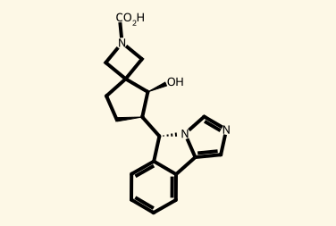 O=C(O)N1CC2(CC[C@H]([C@H]3c4ccccc4-c4cncn43)[C@@H]2O)C1